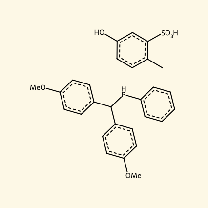 COc1ccc(C(Pc2ccccc2)c2ccc(OC)cc2)cc1.Cc1ccc(O)cc1S(=O)(=O)O